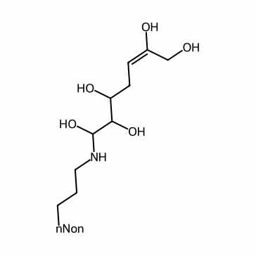 CCCCCCCCCCCCNC(O)C(O)C(O)C/C=C(/O)CO